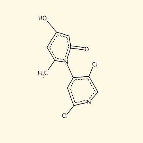 Cc1cc(O)cc(=O)n1-c1cc(Cl)ncc1Cl